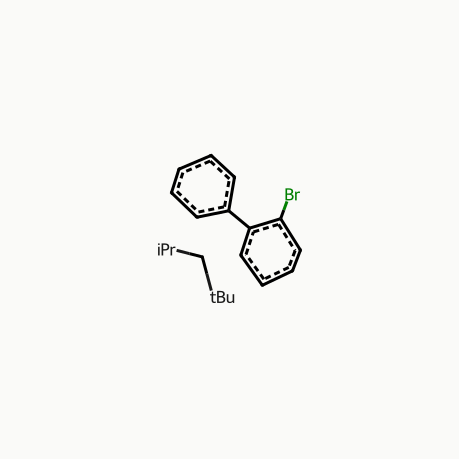 Brc1ccccc1-c1ccccc1.CC(C)CC(C)(C)C